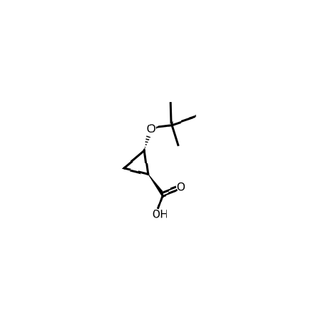 CC(C)(C)O[C@H]1C[C@@H]1C(=O)O